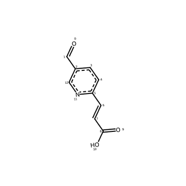 O=Cc1ccc(C=CC(=O)O)nc1